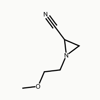 COCCN1CC1C#N